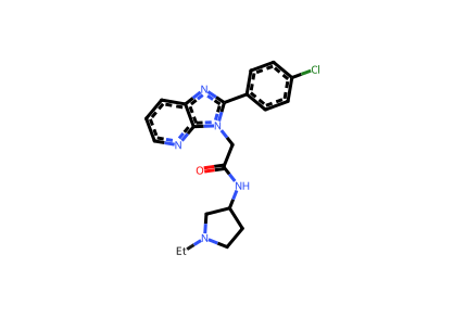 CCN1CCC(NC(=O)Cn2c(-c3ccc(Cl)cc3)nc3cccnc32)C1